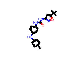 Cc1ccc(Nc2ccc(NC(=O)Nc3cc(C(C)(C)C)on3)cc2)cc1